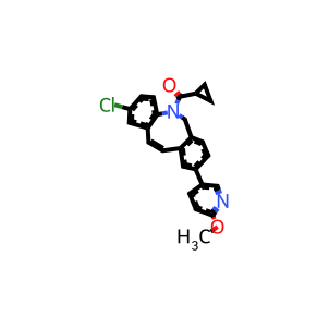 COc1ccc(-c2ccc3c(c2)C=Cc2cc(Cl)ccc2N(C(=O)C2CC2)C3)cn1